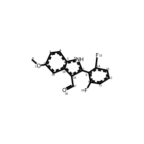 COc1ccc2[nH]c(-c3c(F)cccc3F)c(C=O)c2c1